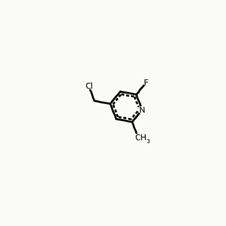 Cc1cc(CCl)cc(F)n1